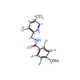 COc1c(F)c(F)c(C(=O)NCc2ncc(C(Cl)(Cl)Cl)cc2Cl)c(F)c1F